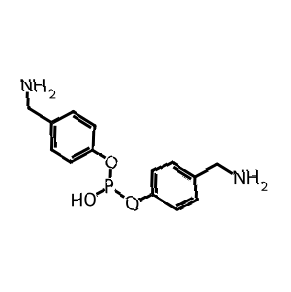 NCc1ccc(OP(O)Oc2ccc(CN)cc2)cc1